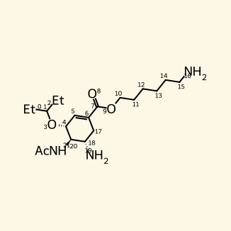 CCC(CC)O[C@@H]1C=C(C(=O)OCCCCCCN)C[C@H](N)[C@H]1NC(C)=O